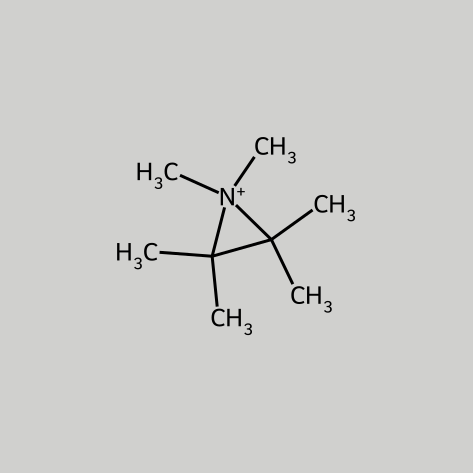 CC1(C)C(C)(C)[N+]1(C)C